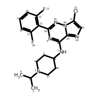 CC(C)N1CCC(Nc2nc(-c3c(F)cccc3F)nn3c(Cl)cnc23)CC1